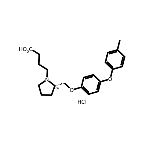 Cc1ccc(Oc2ccc(OC[C@@H]3CCCN3CCCC(=O)O)cc2)cc1.Cl